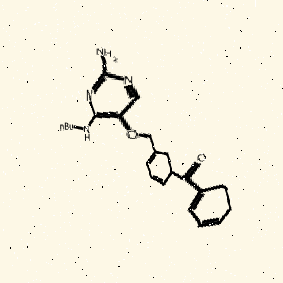 CCCCNc1nc(N)ncc1OCC1=CC=CC(C(=O)C2=CC=CCC2)C1